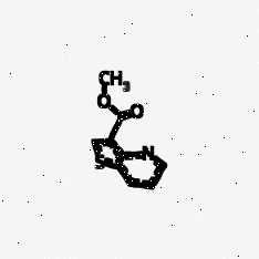 COC(=O)c1csc2cccnc12